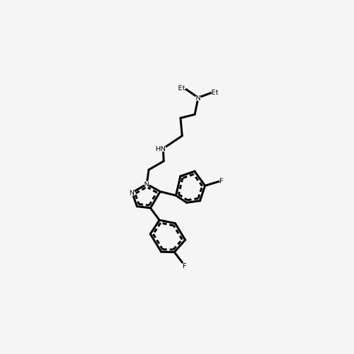 CCN(CC)CCCNCCn1ncc(-c2ccc(F)cc2)c1-c1ccc(F)cc1